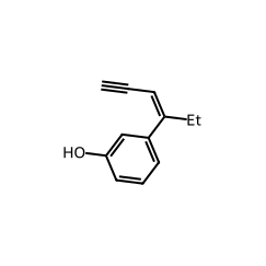 C#C/C=C(/CC)c1cccc(O)c1